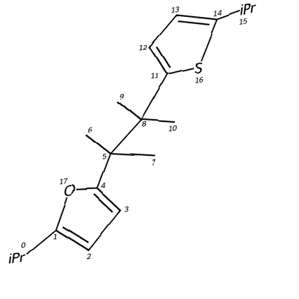 CC(C)c1ccc(C(C)(C)C(C)(C)c2ccc(C(C)C)s2)o1